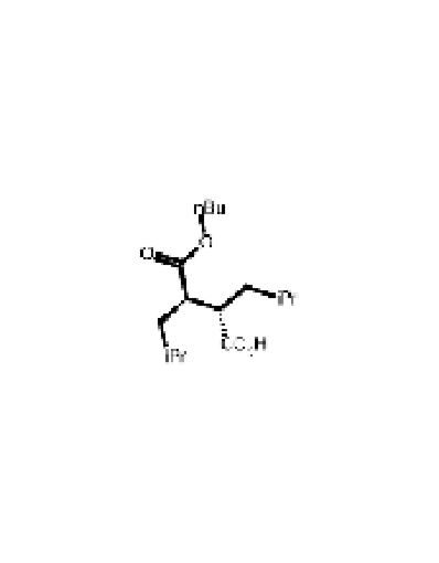 CCCCOC(=O)[C@H](CC(C)C)[C@H](CC(C)C)C(=O)O